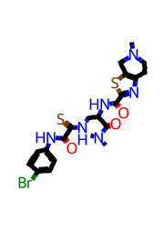 CN1CCc2nc(C(=O)NC(CNC(=S)C(=O)Nc3ccc(Br)cc3)C(=O)N(C)C)sc2C1